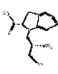 N[C@H](C=O)CN1c2ccccc2C[C@H]1C(=O)O